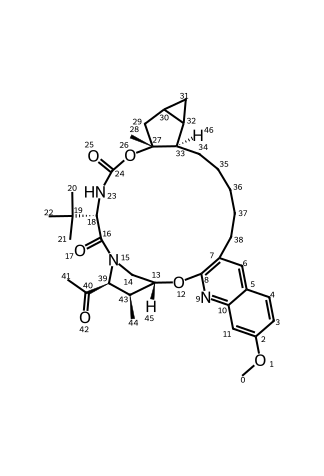 COc1ccc2cc3c(nc2c1)O[C@H]1CN(C(=O)[C@H](C(C)(C)C)NC(=O)O[C@]2(C)CC4CC4[C@H]2CCCCC3)[C@H](C(C)=O)[C@@H]1C